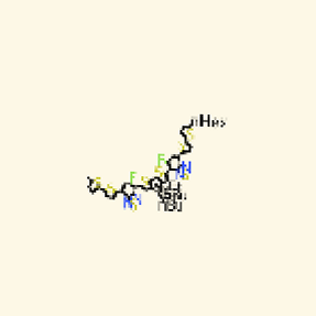 CCCCCCc1ccc(-c2ccc(-c3cc(F)c(-c4cc5c(s4)-c4sc(-c6c(F)cc(-c7ccc(-c8ccc(C)s8)s7)c7nsnc67)cc4[Si@]5(CC(CC)CCCC)C(CC)CCCC)c4nsnc34)s2)s1